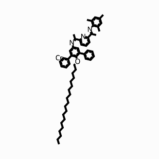 CCCCCCCCCCCCCCCCCCCCOc1c(-c2ccccc2)cc(N=C(C)c2cccc(C(C)=Nc3c(C)cc(C)cc3C)n2)cc1-c1ccccc1.[Cr]